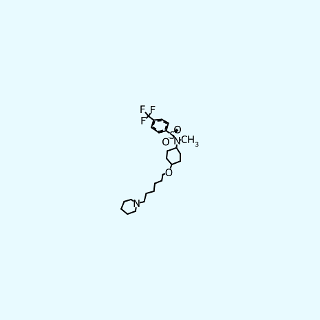 CN(C1CCC(OCCCCCCN2CCCCC2)CC1)S(=O)(=O)c1ccc(C(F)(F)F)cc1